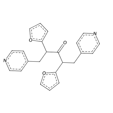 O=C(C(Cc1ccncc1)c1ccco1)C(Cc1ccncc1)c1ccco1